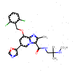 CCC(C)(CNC(=O)c1c(C)nc2c(OCc3c(F)cccc3F)cc(-c3cnco3)cn12)NC(=O)O